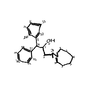 OC(CN1CCCCCC1)C(c1ccccc1)c1ccccc1